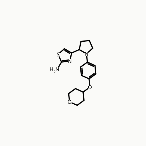 Nc1nc(C2CCCN2c2ccc(OC3CCOCC3)cc2)cs1